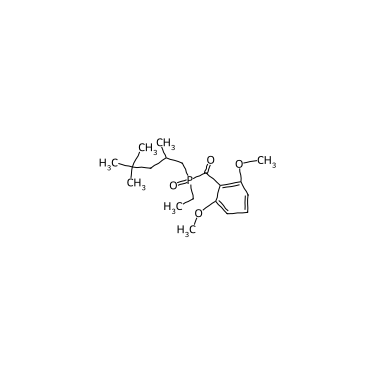 CCP(=O)(CC(C)CC(C)(C)C)C(=O)c1c(OC)cccc1OC